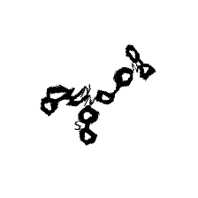 c1ccc2c(-c3ccc(N(c4ccc(-c5ccc(-n6c7ccccc7c7ccccc76)cc5)cc4)c4ccc5c(c4)sc4ccccc45)nc3)cccc2c1